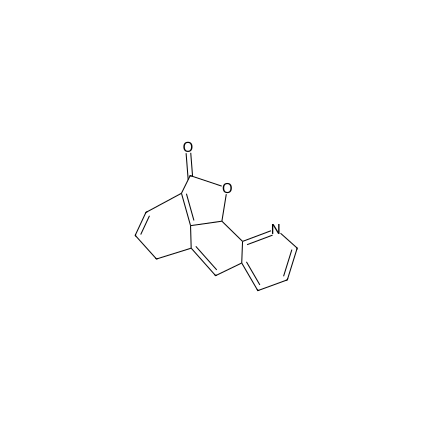 O=C1OC2C3=C1C=CCC3=Cc1cccnc12